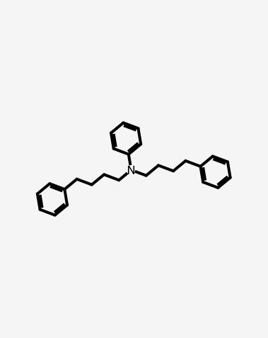 c1ccc(CCCCN(CCCCc2ccccc2)c2ccccc2)cc1